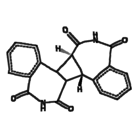 O=C1NC(=O)C2C(c3ccccc31)[C@H]1C(=O)NC(=O)c3ccccc3[C@H]21